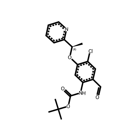 C[C@@H](Oc1cc(NC(=O)OC(C)(C)C)c(C=O)cc1Cl)c1ccccn1